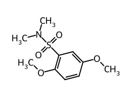 COc1ccc(OC)c(S(=O)(=O)N(C)C)c1